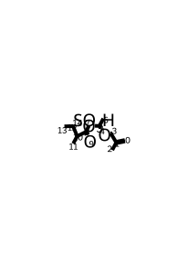 C=C(C)COC(C)OC(=O)C(C)C(C)S(=O)(=O)O